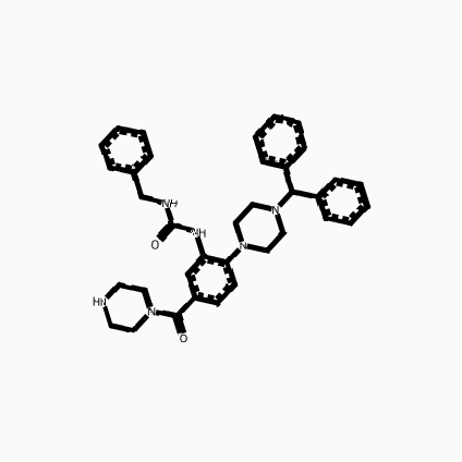 O=C(NCc1ccccc1)Nc1cc(C(=O)N2CCNCC2)ccc1N1CCN(C(c2ccccc2)c2ccccc2)CC1